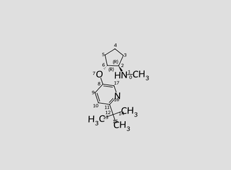 CN[C@@H]1CCC[C@H]1Oc1ccc(C(C)(C)C)nc1